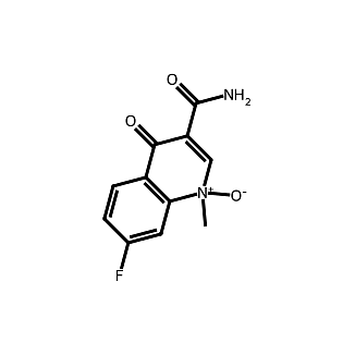 C[N+]1([O-])C=C(C(N)=O)C(=O)c2ccc(F)cc21